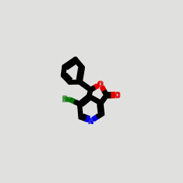 O=C1OC(c2ccccc2)c2c(Br)cncc21